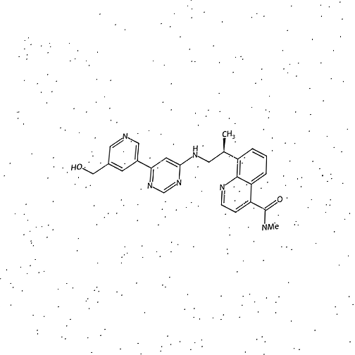 CNC(=O)c1ccnc2c([C@H](C)CNc3cc(-c4cncc(CO)c4)ncn3)cccc12